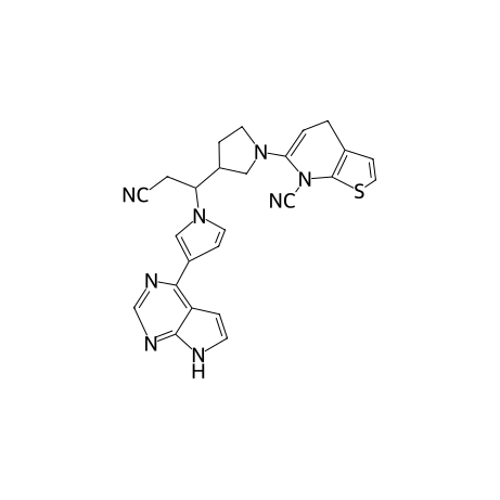 N#CCC(C1CCN(C2=CCc3ccsc3N2C#N)C1)n1ccc(-c2ncnc3[nH]ccc23)c1